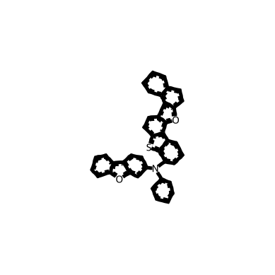 c1ccc(N(c2ccc3c(c2)oc2ccccc23)c2cccc3c2sc2ccc4c(oc5ccc6ccccc6c54)c23)cc1